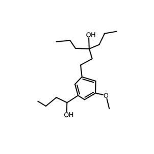 CCCC(O)c1cc(CCC(O)(CCC)CCC)cc(OC)c1